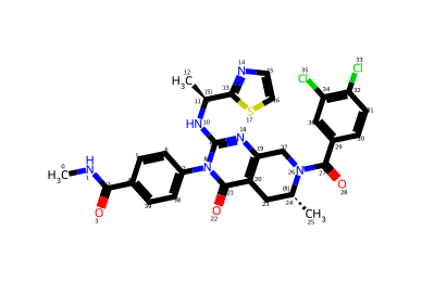 CNC(=O)c1ccc(-n2c(N[C@@H](C)c3nccs3)nc3c(c2=O)C[C@@H](C)N(C(=O)c2ccc(Cl)c(Cl)c2)C3)cc1